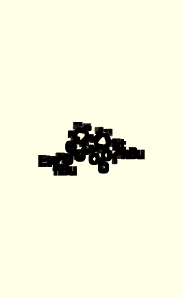 CCCCC(CC)COC(=O)OC(c1ccccc1)C(OC(=O)OCC(CC)CCCC)c1ccccc1